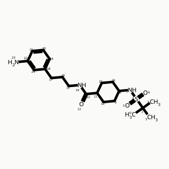 CC(C)(C)S(=O)(=O)NC1CCC(C(=O)NCCCc2cccc(N)c2)CC1